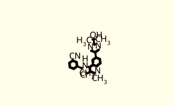 Cc1nc2ccc(-c3cnc(C(C)(C)O)nc3)cc2c(NC(C)c2cccc(C#N)c2)c1Cl